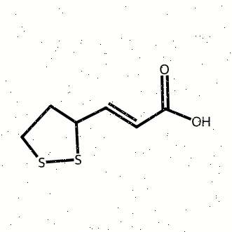 O=C(O)/C=C/C1CCSS1